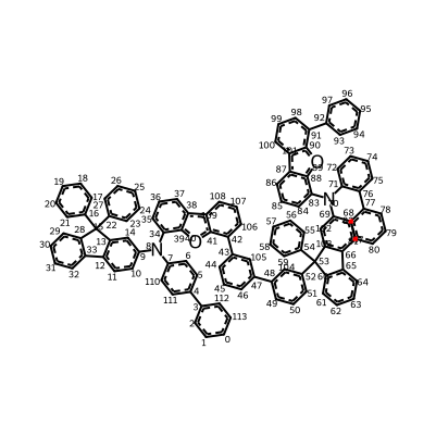 c1ccc(-c2ccc(N(c3ccc4c(c3)C(c3ccccc3)(c3ccccc3)c3ccccc3-4)c3cccc4c3oc3c(-c5cccc(-c6cccc(C7(c8ccccc8)c8ccccc8-c8ccc(N(c9ccccc9-c9ccccc9)c9cccc%10c9oc9c(-c%11ccccc%11)cccc9%10)cc87)c6)c5)cccc34)cc2)cc1